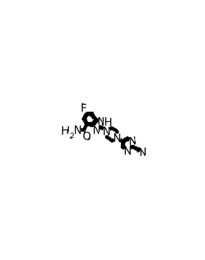 N#Cc1ncc(N2CCN(c3nc4c(C(N)=O)cc(F)cc4[nH]3)CC2)cn1